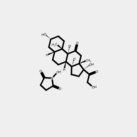 C[C@]12CC[C@@H](O)C[C@H]1CC[C@@H]1[C@@H]2C(=O)C[C@@]2(C)[C@H]1CC[C@]2(O)C(=O)CO.O=C1CCC(=O)N1O